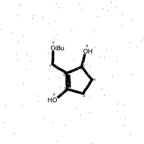 CC(C)COCC1=C(O)CCC1O